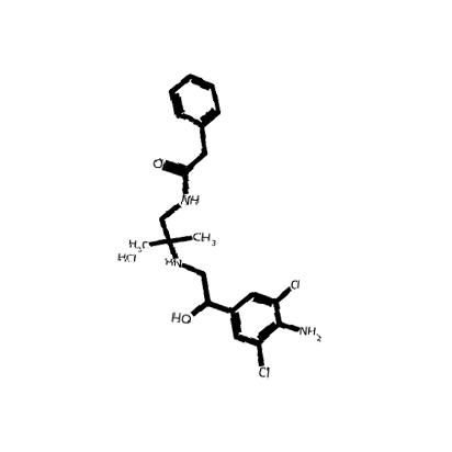 CC(C)(CNC(=O)Cc1ccccc1)NCC(O)c1cc(Cl)c(N)c(Cl)c1.Cl